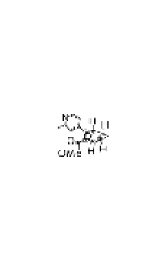 COC(=O)[C@@H]1[C@H]2O[C@@H]([C@H]3C[C@@H]32)[C@@H]1c1ccnc(C)c1